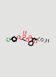 O=C(O)c1cc(=O)c2c(OCC(O)COc3ccc(Cl)cc3)cccc2o1